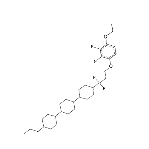 CCCC1CCC(C2CCC(C3CCC(C(F)(F)CCOc4ccc(OCC)c(F)c4F)CC3)CC2)CC1